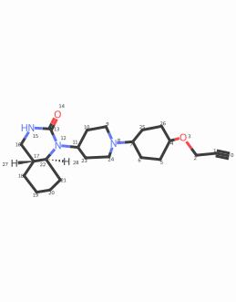 C#CCOC1CCC(N2CCC(N3C(=O)NC[C@H]4CCCC[C@@H]43)CC2)CC1